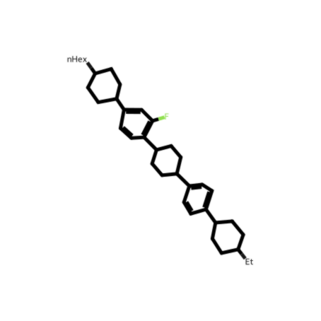 CCCCCCC1CCC(c2ccc(C3CCC(c4ccc(C5CCC(CC)CC5)cc4)CC3)c(F)c2)CC1